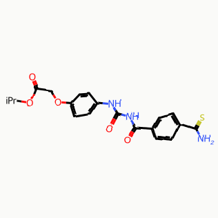 CC(C)OC(=O)COc1ccc(NC(=O)NC(=O)c2ccc(C(N)=S)cc2)cc1